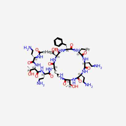 CCCCCCCC(=O)N[C@@H](CCN)C(=O)N[C@H](C(=O)N[C@@H](CCN)C(=O)N[C@H]1CCNC(=O)[C@H]([C@@H](C)O)NC(=O)[C@H](CCN)NC(=O)[C@H](CCN)NC(=O)[C@H](CC(C)C)NC(=O)[C@@H](Cc2ccccc2)NC(=O)[C@H](CO)NC1=O)[C@@H](C)O